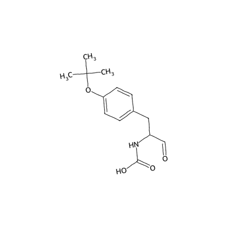 CC(C)(C)Oc1ccc(CC(C=O)NC(=O)O)cc1